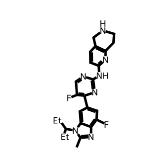 CCC(CC)n1c(C)nc2c(F)cc(-c3nc(Nc4ccc5c(n4)CCNC5)ncc3F)cc21